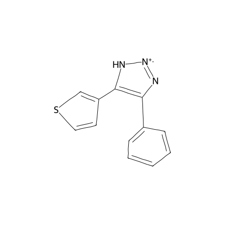 c1ccc(C2=C(c3ccsc3)N[N+]=N2)cc1